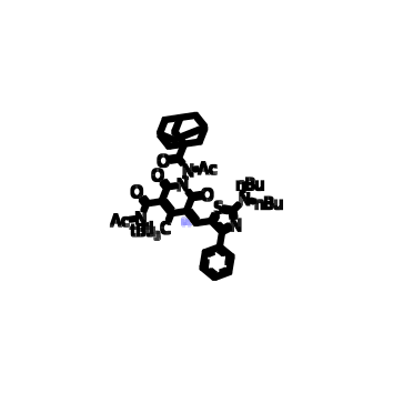 CCCCN(CCCC)c1nc(-c2ccccc2)c(/C=C2\C(=O)N(N(C(C)=O)C(=O)C34CC5CC(CC(C5)C3)C4)C(=O)C(C(=O)N(C(C)=O)C(C)(C)C)=C2C)s1